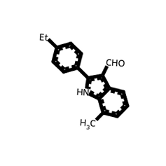 CCc1ccc(-c2[nH]c3c(C)cccc3c2C=O)cc1